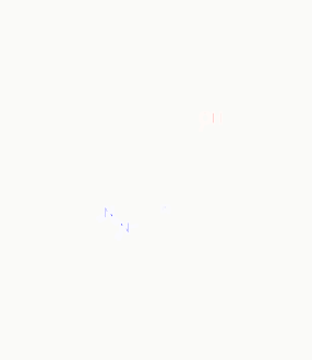 Oc1ccc(/C=C/Cn2cccn2)cc1